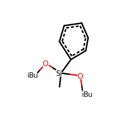 CCC(C)O[Si](C)(OC(C)CC)c1ccccc1